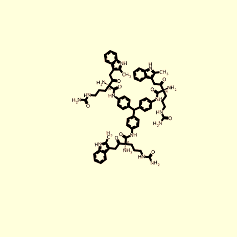 Cc1[nH]c2ccccc2c1CC(=O)[C@](N)(CCCNC(N)=O)C(=O)Nc1ccc(C(c2ccc(NC(=O)[C@@](N)(CCCNC(N)=O)C(=O)Cc3c(C)[nH]c4ccccc34)cc2)c2ccc(NC(=O)[C@@](N)(CCCNC(N)=O)C(=O)Cc3c(C)[nH]c4ccccc34)cc2)cc1